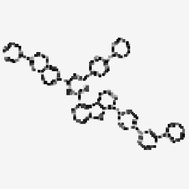 c1ccc(-c2ccc(-c3nc(-c4ccc5cc(-c6ccccc6)ccc5c4)nc(-c4cccc5oc6c(-c7ccc(-c8cccc(-c9ccccc9)c8)cc7)cccc6c45)n3)cc2)cc1